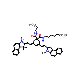 CCOC(=O)CCCCCNC(=O)C1(C(=O)NCCS(=O)(=O)O)CC(/C=C/C2=[N+](CC)c3ccc4ccccc4c3C2)=CC(=C/C=C2/N(CC)c3ccc4ccccc4c3C2(C)C)/C1